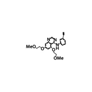 C#Cc1cccc(Nc2ncnc3cc(OCCOC)cc(OCCOC)c23)c1